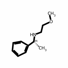 COCCN[C@H](C)c1ccccc1